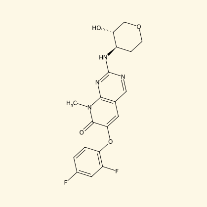 Cn1c(=O)c(Oc2ccc(F)cc2F)cc2cnc(N[C@@H]3CCOC[C@H]3O)nc21